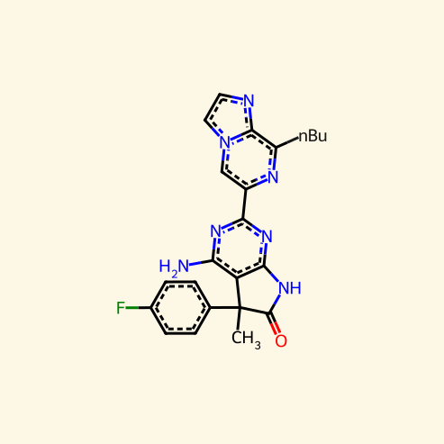 CCCCc1nc(-c2nc(N)c3c(n2)NC(=O)C3(C)c2ccc(F)cc2)cn2ccnc12